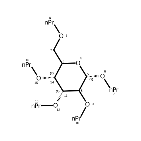 CCCOCC1O[C@H](OCCC)C(OCCC)[C@H](OCCC)[C@@H]1OCCC